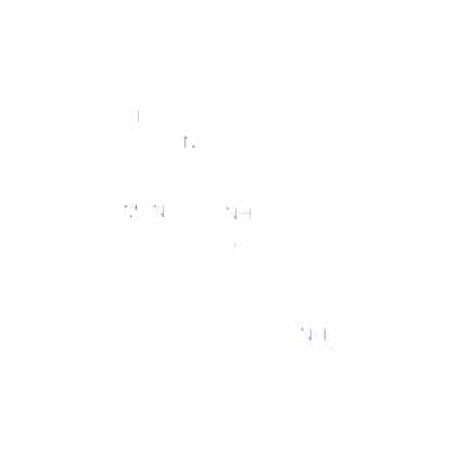 C/N=C(\NC)NOCCN